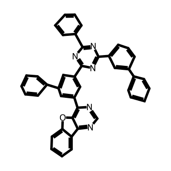 c1ccc(-c2cccc(-c3nc(-c4ccccc4)nc(-c4cc(-c5ccccc5)cc(-c5ncnc6c5oc5ccccc56)c4)n3)c2)cc1